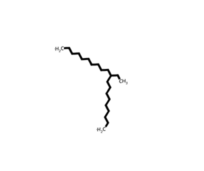 [CH2]CCCCCCCCCC(CC)CCCCCCCC[CH2]